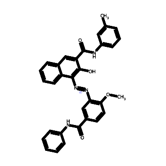 COc1ccc(C(=O)Nc2ccccc2)cc1/N=N/c1c(O)c(C(=O)Nc2cccc(C)c2)cc2ccccc12